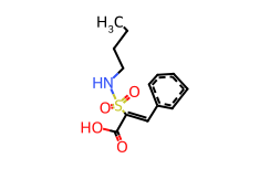 CCCCNS(=O)(=O)C(=Cc1ccccc1)C(=O)O